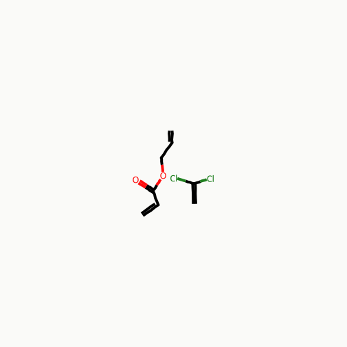 C=C(Cl)Cl.C=CCOC(=O)C=C